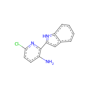 Nc1ccc(Cl)nc1-c1cc2ccccc2[nH]1